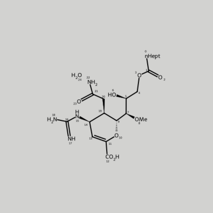 CCCCCCCC(=O)OC[C@H](O)[C@@H](OC)[C@@H]1OC(C(=O)O)=C[C@@H](NC(=N)N)[C@H]1CC(N)=O.O